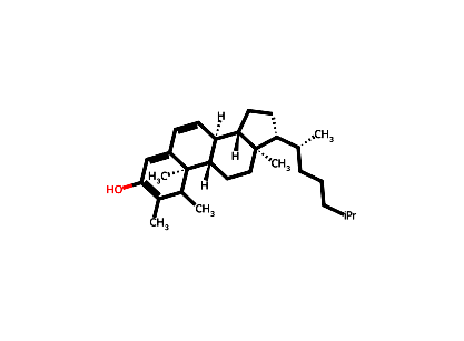 CC1=C(O)C=C2C=C[C@H]3[C@@H]4CC[C@H]([C@H](C)CCCC(C)C)[C@@]4(C)CC[C@@H]3[C@@]2(C)C1C